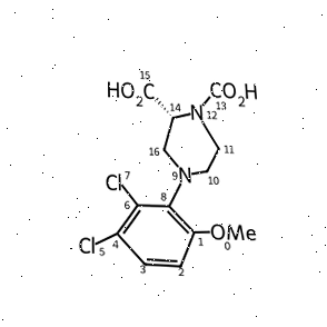 COc1ccc(Cl)c(Cl)c1N1CCN(C(=O)O)[C@@H](C(=O)O)C1